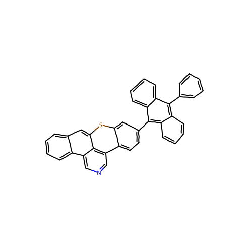 c1ccc(-c2c3ccccc3c(-c3ccc4c(c3)Sc3cc5ccccc5c5cncc-4c35)c3ccccc23)cc1